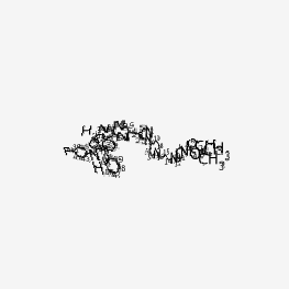 CC(C)(C)OC(=O)N1CC2CC1CN2CCCN1CCC(n2cc(-c3cnc(N)c(C(=O)O[C@@H](C(=O)Nc4ccc(F)cc4)c4ccccc4)n3)cn2)CC1